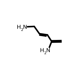 C=C(N)C=CCN